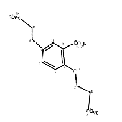 CCCCCCCCCCCCOc1ccc(CCCCCCCCCCCC)cc1C(=O)O